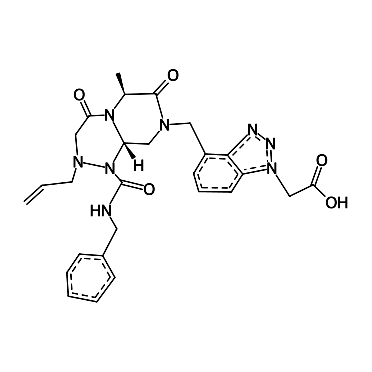 C=CCN1CC(=O)N2[C@@H](C)C(=O)N(Cc3cccc4c3nnn4CC(=O)O)C[C@@H]2N1C(=O)NCc1ccccc1